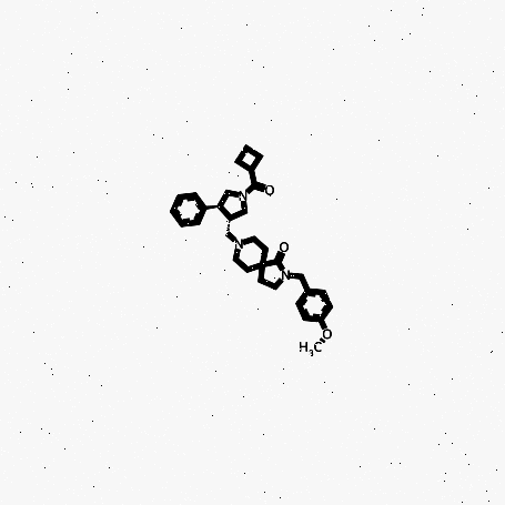 COc1ccc(CN2CCC3(CCN(C[C@H]4CN(C(=O)C5CCC5)C[C@@H]4c4ccccc4)CC3)C2=O)cc1